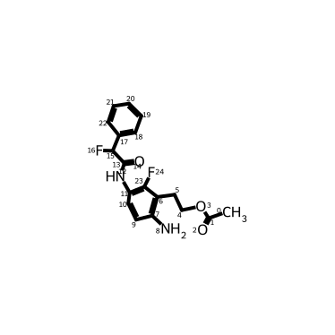 CC(=O)OCCc1c(N)ccc(NC(=O)C(F)c2ccccc2)c1F